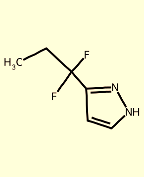 CCC(F)(F)c1cc[nH]n1